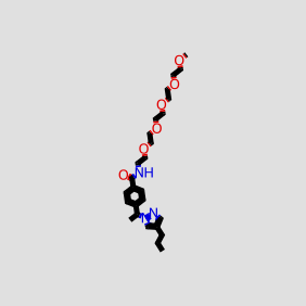 CCCc1cnn(C(C)c2ccc(C(=O)NCCOCCOCCOCCOCCOC)cc2)c1